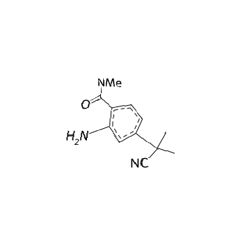 CNC(=O)c1ccc(C(C)(C)C#N)cc1N